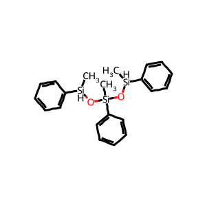 C[SiH](O[Si](C)(O[SiH](C)c1ccccc1)c1ccccc1)c1ccccc1